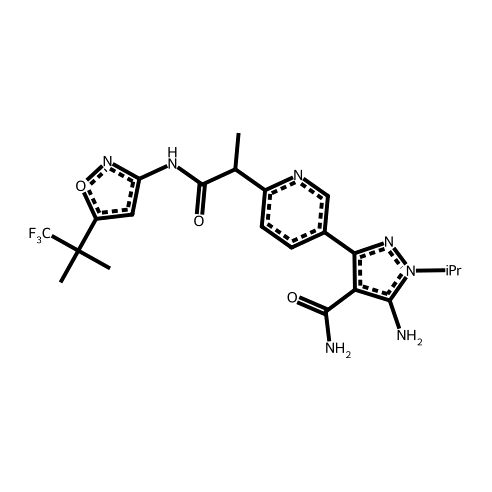 CC(C(=O)Nc1cc(C(C)(C)C(F)(F)F)on1)c1ccc(-c2nn(C(C)C)c(N)c2C(N)=O)cn1